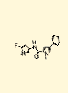 Cn1cc(NC(=O)c2cc(-c3ccccc3)cn2C)cc1F